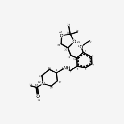 COc1cccc(CNC2CCN(C(C)=O)CC2)c1CC1COC(C)(C)O1